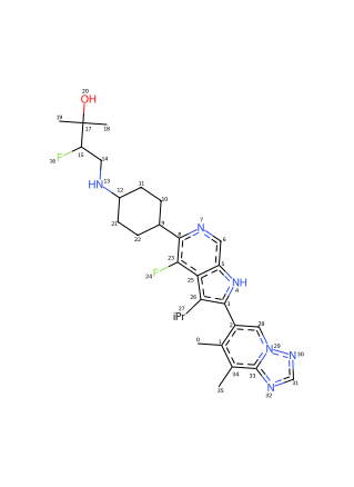 Cc1c(-c2[nH]c3cnc(C4CCC(NCC(F)C(C)(C)O)CC4)c(F)c3c2C(C)C)cn2ncnc2c1C